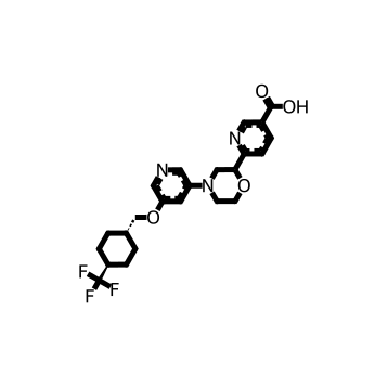 O=C(O)c1ccc(C2CN(c3cncc(OC[C@H]4CC[C@H](C(F)(F)F)CC4)c3)CCO2)nc1